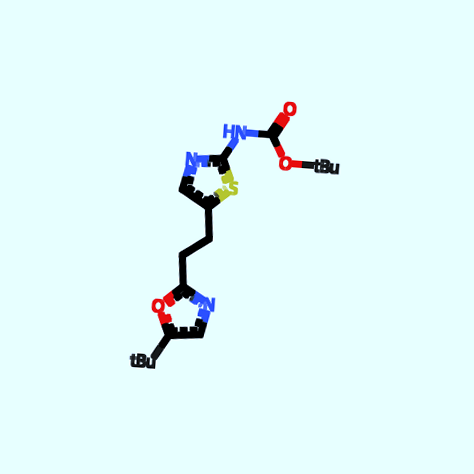 CC(C)(C)OC(=O)Nc1ncc(CCc2ncc(C(C)(C)C)o2)s1